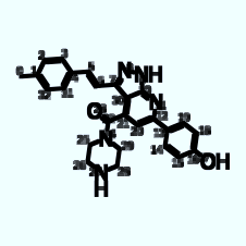 Cc1ccc(C=Cc2n[nH]c3nc(-c4ccc(O)cc4)cc(C(=O)N4CCNCC4)c23)cc1